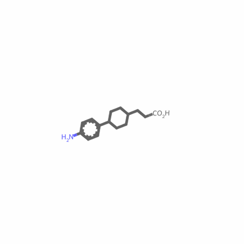 Nc1ccc(C2CCC(CCC(=O)O)CC2)cc1